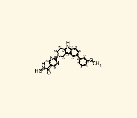 COc1cccc(-c2ccc3[nH]c4c(c3c2)CN(c2ncc(C(=O)NO)cn2)CC4)c1